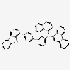 c1cc(-c2ccc(-c3cccc4c3oc3ccccc34)cc2)cc(N(c2cccc3ccccc23)c2cc3ccccc3c3ccccc23)c1